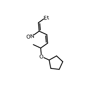 CC/C=C(\C=C/C(C)OC1CCCC1)N=O